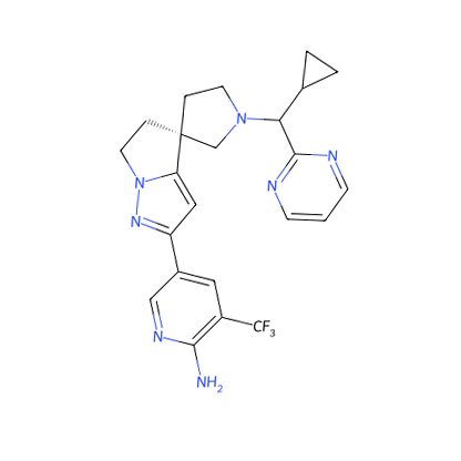 Nc1ncc(-c2cc3n(n2)CC[C@@]32CCN(C(c3ncccn3)C3CC3)C2)cc1C(F)(F)F